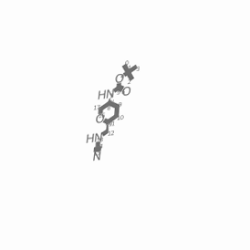 CC(C)(C)OC(=O)N[C@@H]1CC[C@@H](CNC#N)OC1